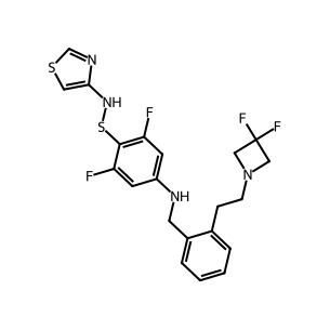 Fc1cc(NCc2ccccc2CCN2CC(F)(F)C2)cc(F)c1SNc1cscn1